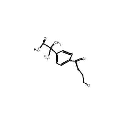 CC(=O)C(C)(C)c1ccc(C(=O)CCCCl)cc1